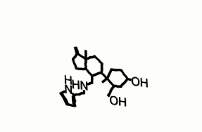 C=C1CCC2C(CNCc3ccc[nH]3)C(C3(C)CCC(O)CC3CO)CCC12C